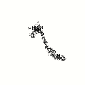 CC(C)C[C@H](NC(=O)[C@@H](O)[C@H](N)Cc1ccccc1)C(=O)NCCOCCOCCOCCOc1ccc(C(=O)Nc2ccc3oc(-c4cccnc4)nc3c2)nc1